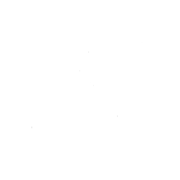 CC(=O)Oc1cc(Cl)ccc1Oc1ccc(Cl)cc1